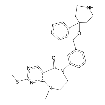 CSc1ncc2c(n1)N(C)CCN(c1cccc(COC3(c4ccccc4)CCNCC3)c1)C2=O